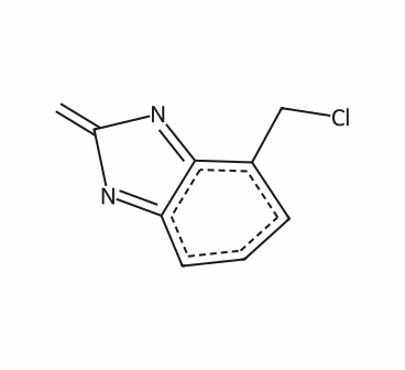 C=C1N=c2cccc(CCl)c2=N1